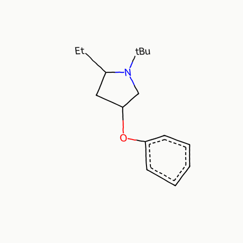 CCC1CC(Oc2ccccc2)CN1C(C)(C)C